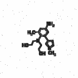 Cc1cc(N)cc(-c2ccn(C)c2)c1N(CCO)CCO